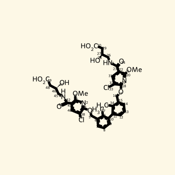 COc1nc(OCc2cccc(-c3cccc(COc4nc(OC)c(C(=O)NC[C@@H](O)CC(=O)O)cc4Cl)c3C)c2C)c(Cl)cc1C(=O)NC[C@@H](O)CC(=O)O